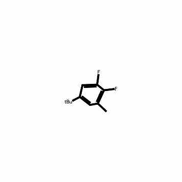 Cc1cc(C(C)(C)C)cc(F)c1F